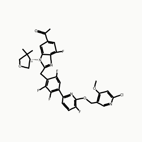 COc1cc(Cl)ncc1COc1nc(-c2cc(F)c(Cc3nc4c(F)cc(C(C)=O)cc4n3[C@@H]3COCC3(C)C)c(F)c2F)ccc1F